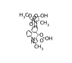 COCP(=O)(N[C@@H](C)C(=O)O)Oc1ccc(C(OC(=O)O)c2cc(C)nn2-c2ccccc2)cc1